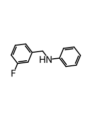 Fc1cccc(CNc2ccccc2)c1